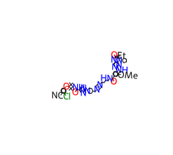 CC[C@@H]1C(=O)N(C)c2cnc(Nc3ccc(C(=O)NCCCCN4CCN(CC5CCN(c6ncc(C(=O)NC7C(C)(C)C(Oc8ccc(C#N)c(Cl)c8)C7(C)C)cn6)CC5)CC4)cc3OC)nc2N1C1CCCC1